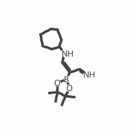 CC1(C)OB(/C(C=N)=C/NC2CCCCCC2)OC1(C)C